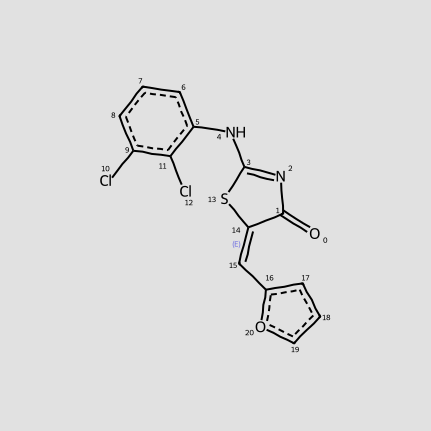 O=C1N=C(Nc2cccc(Cl)c2Cl)S/C1=C/c1ccco1